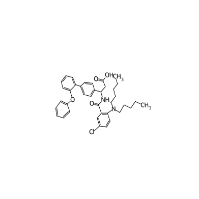 CCCCCN(CCCCC)c1ccc(Cl)cc1C(=O)NC(CC(=O)O)c1ccc(-c2ccccc2Oc2ccccc2)cc1